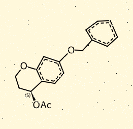 CC(=O)O[C@H]1CCOc2cc(OCc3ccccc3)ccc21